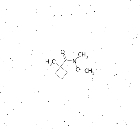 CON(C)C(=O)C1(C)CCC1